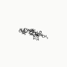 CCNC(=O)[C@H]1C[C@@H](n2cnc3c(NC(CC)Cc4ccc(Cl)s4)ccnc32)[C@H](O)[C@@H]1O